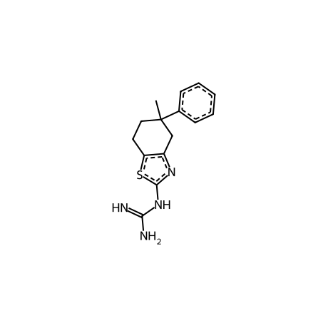 CC1(c2ccccc2)CCc2sc(NC(=N)N)nc2C1